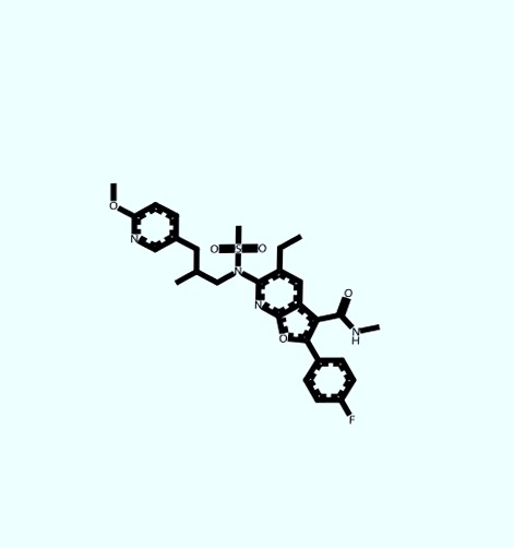 CCc1cc2c(C(=O)NC)c(-c3ccc(F)cc3)oc2nc1N(CC(C)Cc1ccc(OC)nc1)S(C)(=O)=O